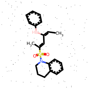 C/C=C(Bc1ccccc1)\C=C(/C)S(=O)(=O)N1CCCc2ccccc21